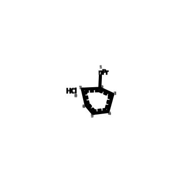 Cl.[CH2]CCc1ccccc1